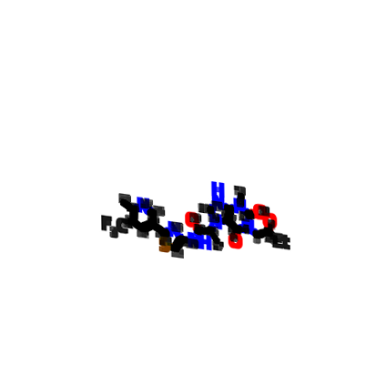 CCC(=O)Cn1c(=O)c2c(n(C)c1=O)NCN2[C@@H](C)C(=O)Nc1csc(-c2cnc(C)c(C(F)(F)F)c2)n1